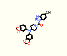 N#Cc1ccc2c(c1)nnn2C(=O)N1CCC(N(c2ccc3c(c2)OCO3)c2ccc3c(c2)OCO3)CC1